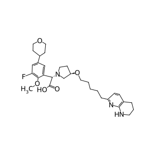 COc1c(F)cc(C2CCOCC2)cc1[C@@H](C(=O)O)N1CC[C@@H](OCCCCCc2ccc3c(n2)NCCC3)C1